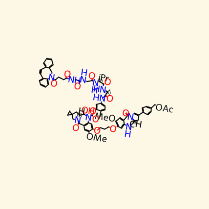 COc1cc2c(cc1OCCCOc1cc3c(cc1OC)C(=O)N1CC4(CC4)C[C@H]1C(O)N3C(=O)OCc1ccc(NC(=O)[C@H](C)NC(=O)[C@@H](NC(=O)CNC(=O)CNC(=O)CCC(=O)N3Cc4ccccc4C#Cc4ccccc43)C(C)C)cc1)NC[C@@H]1CC(c3ccc(COC(C)=O)cc3)=CN1C2=O